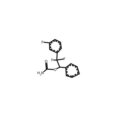 NC(=O)OC(c1ccccc1)C(F)(F)c1cccc(F)c1